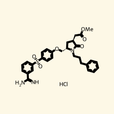 COC(=O)C[C@@H]1C[C@@H](COc2ccc(S(=O)(=O)c3cccc(C(=N)N)c3)cc2)N(CCCc2ccccc2)C1=O.Cl